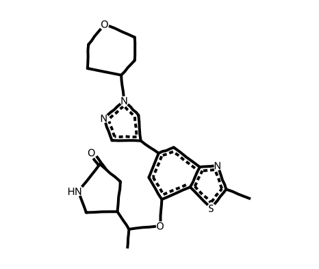 Cc1nc2cc(-c3cnn(C4CCOCC4)c3)cc(OC(C)C3CNC(=O)C3)c2s1